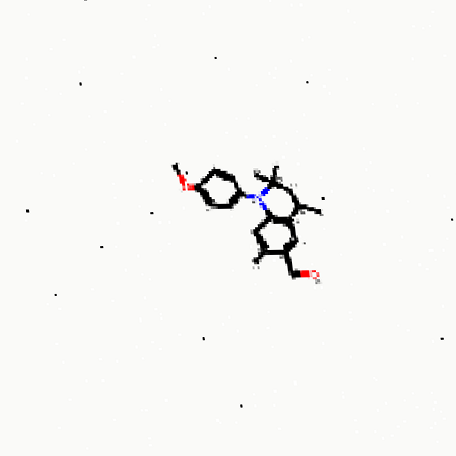 COc1ccc(N2c3cc(C)c(C=O)cc3C(C)CC2(C)C)cc1